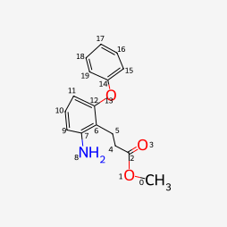 COC(=O)CCc1c(N)cccc1Oc1ccccc1